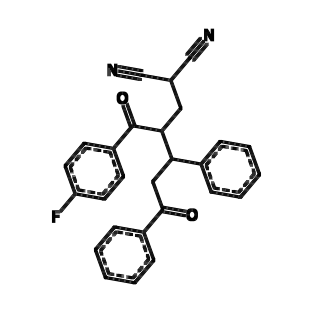 N#CC(C#N)CC(C(=O)c1ccc(F)cc1)C(CC(=O)c1ccccc1)c1ccccc1